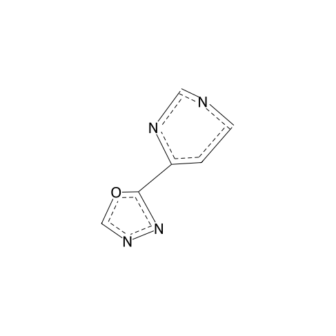 c1cc(-c2nnco2)ncn1